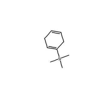 C[Si](C)(C)C1=CCC=CC1